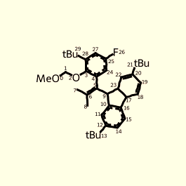 COCOc1c(C(=C(C)C)C2c3cc(C(C)(C)C)ccc3C3C=CC(C(C)(C)C)=CC32)cc(F)cc1C(C)(C)C